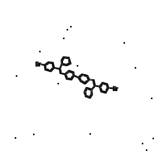 Brc1ccc(/C(=C/c2ccc(-c3ccc(/C=C(\c4ccccc4)c4ccc(Br)cc4)cc3)cc2)c2ccccc2)cc1